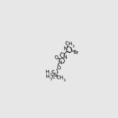 Cc1cc(Br)cc(C2=NC3(CC2)CCN(COCC[Si](C)(C)C)C3=O)n1